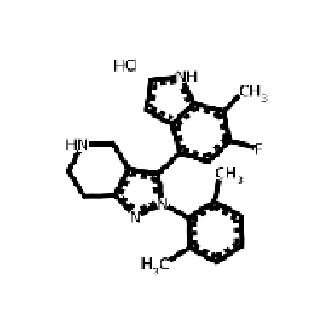 Cc1cccc(C)c1-n1nc2c(c1-c1cc(F)c(C)c3[nH]ccc13)CNCC2.Cl